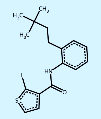 CC(C)(C)CCc1ccccc1NC(=O)c1ccsc1I